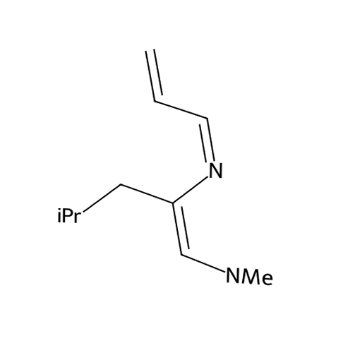 C=C/C=N\C(=C/NC)CC(C)C